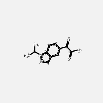 CC(C)n1ncc2cc(C(=O)C(=O)O)ccc21